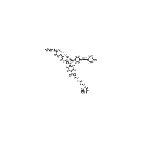 C=CC(CCCCCCOC(=O)c1ccc(C(=O)OC2(C#Cc3ccc(C#Cc4ccc(C)cc4)cc3)CCC(C3CCC(CCCCC)CC3)CC2)cc1)OO